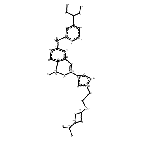 CCC(CC)c1cnnc(Nc2ccc3c(n2)C=C(c2cnn(CCOC4CN(C(C)C)C4)c2)CN3C)c1